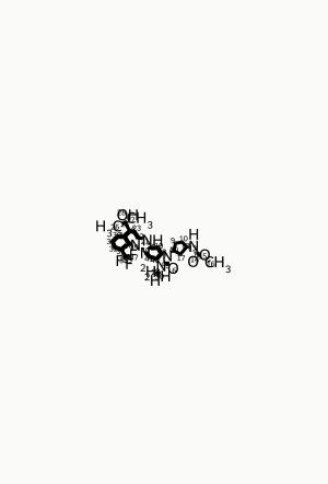 [2H]C([2H])([2H])n1c(=O)n([C@@H]2CC[C@@H](NC(=O)OC)C2)c2cc(Nc3cc(C(C)(C)O)c4cccc(C(F)(F)F)c4n3)ncc21